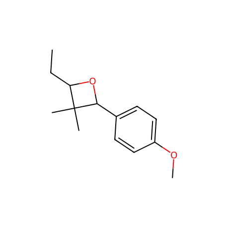 CCC1OC(c2ccc(OC)cc2)C1(C)C